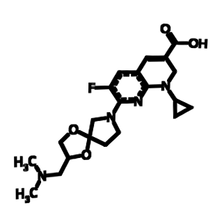 CN(C)CC1COC2(CCN(c3nc4c(cc3F)C=C(C(=O)O)CN4C3CC3)C2)O1